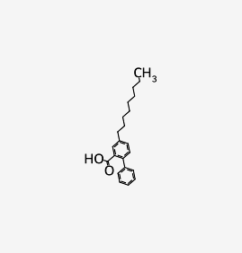 CCCCCCCCCc1ccc(-c2ccccc2)c(C(=O)O)c1